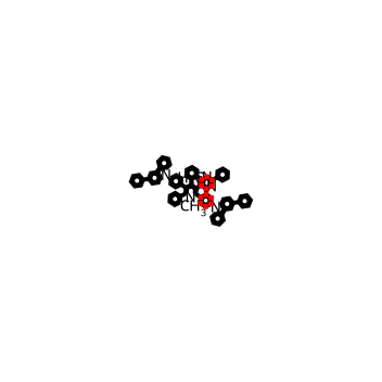 Cc1ccccc1-c1nc(-c2ccc(-n3c4ccccc4c4cc(-c5ccccc5)ccc43)cc2)c(-c2ccccc2C)c(-c2ccccc2-c2nc(-c3ccccc3)nc(-c3ccccc3)n2)c1-c1ccc(-n2c3ccccc3c3cc(-c4ccccc4)ccc32)cc1